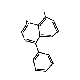 Fc1cccc2c(-c3ccccc3)ncnc12